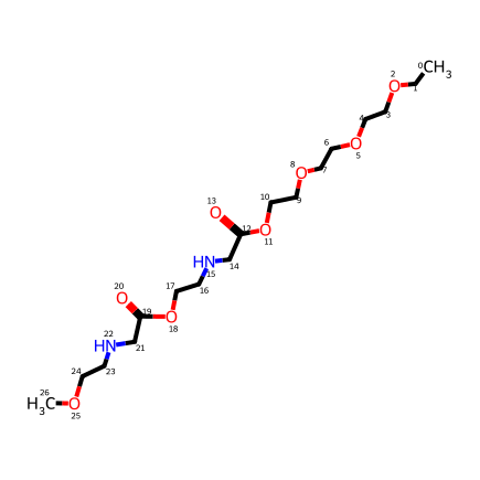 CCOCCOCCOCCOC(=O)CNCCOC(=O)CNCCOC